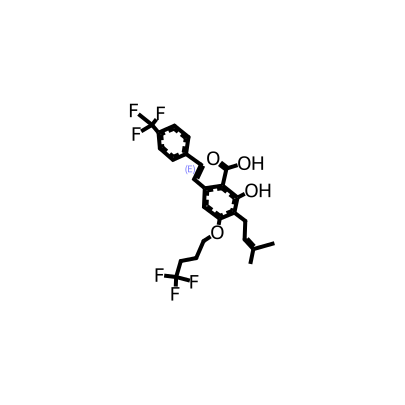 CC(C)=CCc1c(OCCCC(F)(F)F)cc(/C=C/c2ccc(C(F)(F)F)cc2)c(C(=O)O)c1O